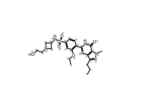 CCCc1nn(C)c2c(=O)[nH]c(-c3ccc(S(=O)(=O)NC4CN(CCO)C4)cc3OCC)nc12